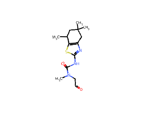 CC1CC(C)(C)Cc2nc(NC(=O)N(C)CC=O)sc21